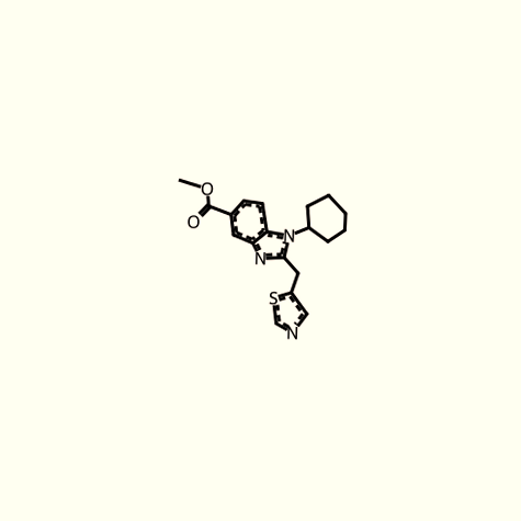 COC(=O)c1ccc2c(c1)nc(Cc1cncs1)n2C1CCCCC1